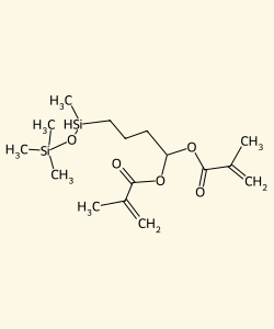 C=C(C)C(=O)OC(CCC[SiH](C)O[Si](C)(C)C)OC(=O)C(=C)C